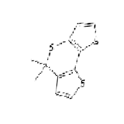 CC1(C)Sc2ccsc2-c2sccc21